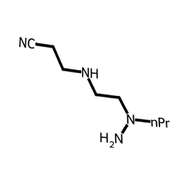 CCCN(N)CCNCCC#N